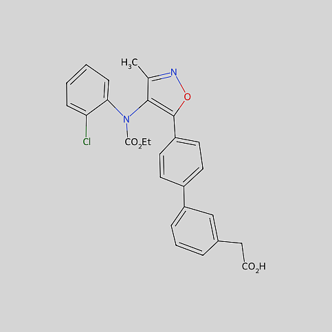 CCOC(=O)N(c1ccccc1Cl)c1c(C)noc1-c1ccc(-c2cccc(CC(=O)O)c2)cc1